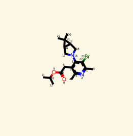 Cc1nc(C)c(CC(=O)OC(C)C)c(N2CC3C(C2)C3(C)C)c1Br